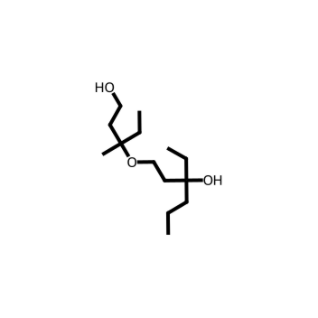 CCCC(O)(CC)CCOC(C)(CC)CCO